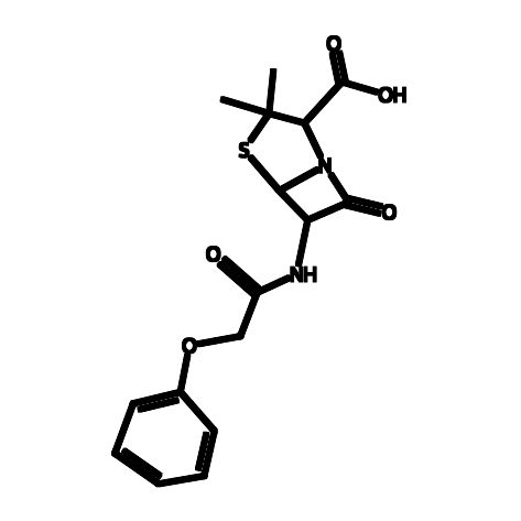 CC1(C)SC2C(NC(=O)COc3ccccc3)C(=O)N2C1C(=O)O